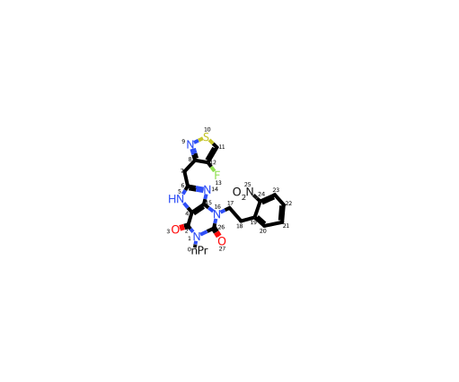 CCCn1c(=O)c2[nH]c(Cc3nscc3F)nc2n(CCc2ccccc2[N+](=O)[O-])c1=O